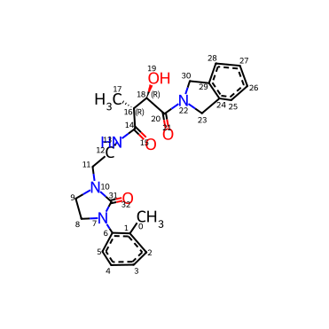 Cc1ccccc1N1CCN(CCNC(=O)[C@H](C)[C@@H](O)C(=O)N2Cc3ccccc3C2)C1=O